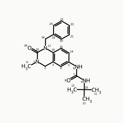 CN1Cc2cc(NC(=O)NC(C)(C)C)ccc2N(Cc2ccccc2)C1=O